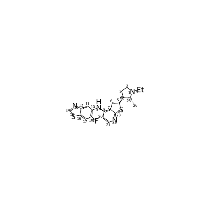 CCN1CC[C@H](c2cc3c(Nc4cc5ncsc5cc4F)ccnc3s2)[C@H]1C